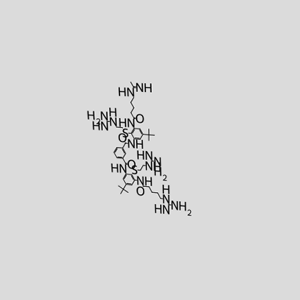 CC(=N)NCCCCC(=O)Nc1cc(C(C)(C)C)cc(NC(=O)c2cccc(C(=O)Nc3cc(C(C)(C)C)cc(NC(=O)CCCCNC(=N)N)c3SCCNC(=N)N)c2)c1SCCNC(=N)N